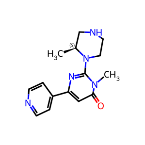 C[C@H]1CNCCN1c1nc(-c2ccncc2)cc(=O)n1C